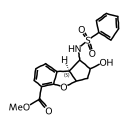 COC(=O)c1cccc2c1OC1CC(O)C(NS(=O)(=O)c3ccccc3)[C@H]21